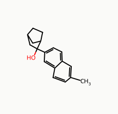 Cc1ccc2cc(C3(O)CC4CCC3C4)ccc2c1